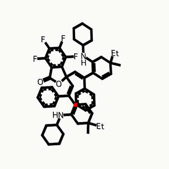 CCC1(C)C=CC(C(=CC2(C=C(C3=C(NC4CCCCC4)CC(C)(CC)C=C3)c3ccccc3)OC(=O)c3c(F)c(F)c(F)c(F)c32)c2ccccc2)=C(NC2CCCCC2)C1